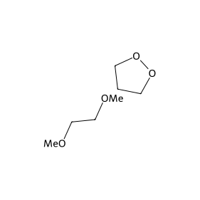 C1COOC1.COCCOC